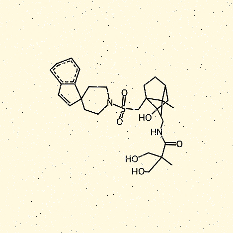 CC(CO)(CO)C(=O)NCC1(O)CC2CCC1(CS(=O)(=O)N1CCC3(C=Cc4ccccc43)CC1)C2(C)C